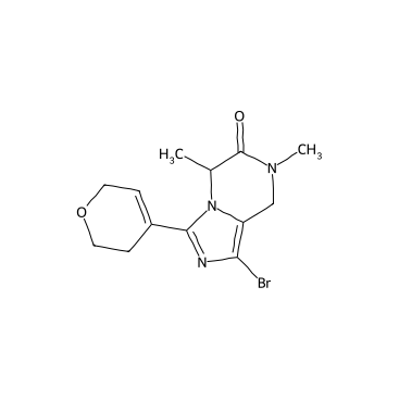 CC1C(=O)N(C)Cc2c(Br)nc(C3=CCOCC3)n21